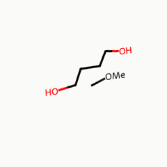 COC.OCCCCO